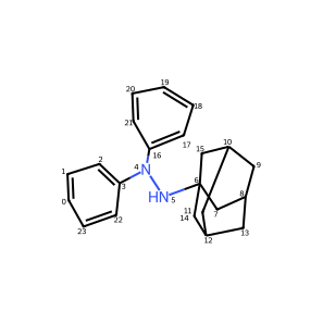 c1ccc(N(NC23CC4CC(CC(C4)C2)C3)c2ccccc2)cc1